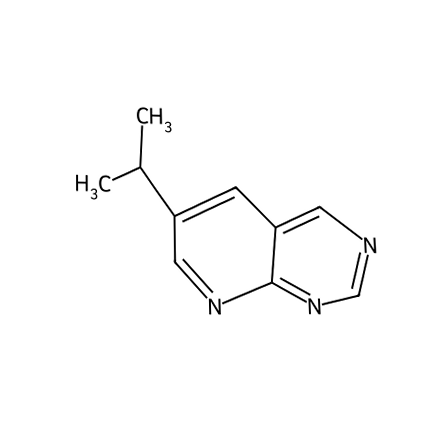 CC(C)c1cnc2ncncc2c1